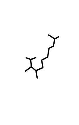 CC(C)CCCCCC(C)C(C)C(C)C